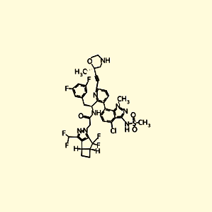 Cn1nc(NS(C)(=O)=O)c2c(Cl)ccc(-c3ccc(C#C[C@]4(C)CNCCO4)nc3[C@H](Cc3cc(F)cc(F)c3)NC(=O)Cn3nc(C(F)F)c4c3C(F)(F)[C@@H]3CC[C@H]43)c21